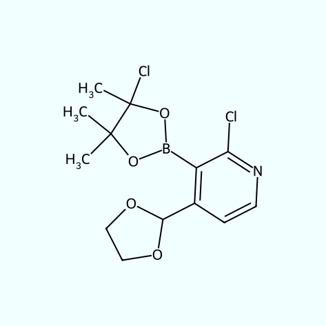 CC1(C)OB(c2c(C3OCCO3)ccnc2Cl)OC1(C)Cl